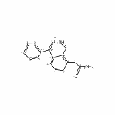 NCc1c(CC(N)=O)cccc1C(=O)c1ccccc1